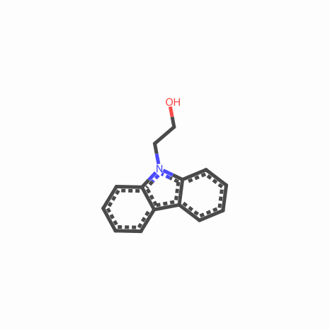 OCCn1c2ccccc2c2ccccc21